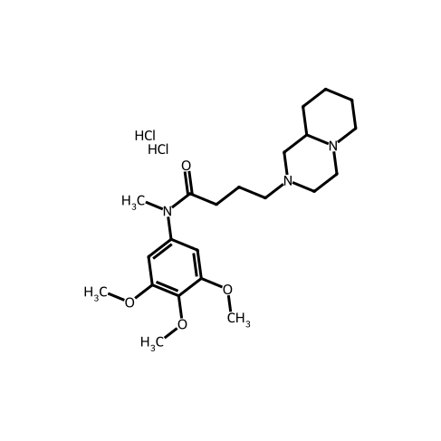 COc1cc(N(C)C(=O)CCCN2CCN3CCCCC3C2)cc(OC)c1OC.Cl.Cl